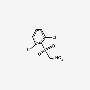 O=[N+]([O-])CS(=O)(=O)c1c(Cl)cccc1Cl